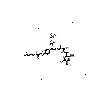 CN(C)CCCNC(=O)COc1ccc(CCCCNC(=N)NC(=O)c2nc(Cl)c(N)nc2N)cc1.CS(=O)(=O)O.CS(=O)(=O)O